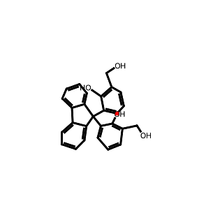 OCc1cccc(C2(c3cccc(CO)c3O)c3ccccc3-c3ccccc32)c1O